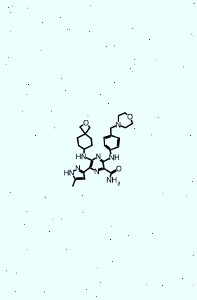 Cc1cc(-c2nc(C(N)=O)c(Nc3ccc(CN4CCOCC4)cc3)nc2NC2CCC3(CC2)COC3)n[nH]1